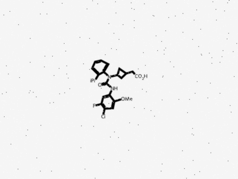 COc1cc(Cl)c(F)cc1NC(=O)N(c1ccccc1C(C)C)C1CC(CC(=O)O)C1